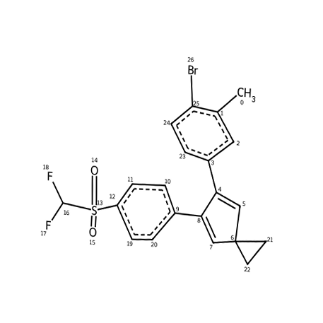 Cc1cc(C2=CC3(C=C2c2ccc(S(=O)(=O)C(F)F)cc2)CC3)ccc1Br